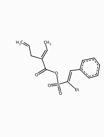 C=CCC(=CC)C(=O)OS(=O)(=O)C(=Cc1ccccc1)CC